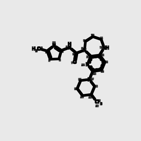 CC1=CCC(NC(=O)N2CCCNc3ccc(N4CCCC(C(F)(F)F)C4)nc32)=N1